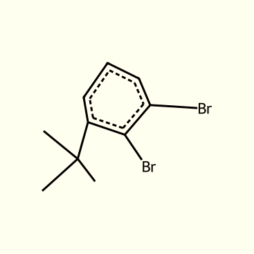 CC(C)(C)c1cccc(Br)c1Br